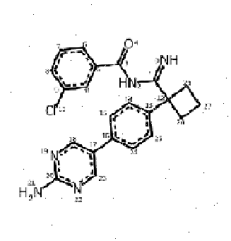 N=C(NC(=O)c1cccc(Cl)c1)C1(c2ccc(-c3cnc(N)nc3)cc2)CCC1